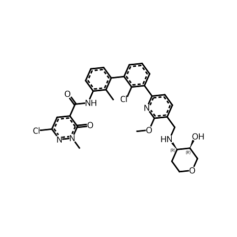 COc1nc(-c2cccc(-c3cccc(NC(=O)c4cc(Cl)nn(C)c4=O)c3C)c2Cl)ccc1CN[C@@H]1CCOC[C@@H]1O